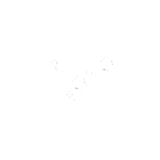 Cc1c(CCC=O)c2c(c(C)c1OCc1ccccc1)CC(C)(C)O2